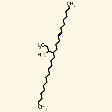 [CH2]CCCCCC/C=C/CCCC(CCCCCCCCCCCC[CH2])C(C)CC